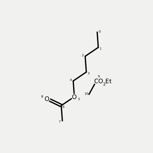 CCCCCOC(C)=O.CCOC(C)=O